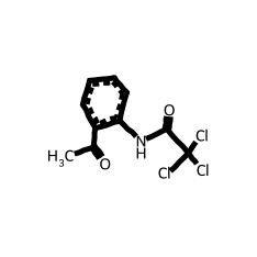 CC(=O)c1ccccc1NC(=O)C(Cl)(Cl)Cl